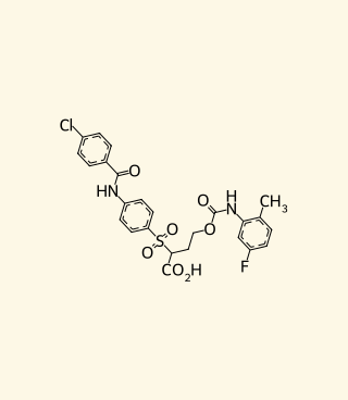 Cc1ccc(F)cc1NC(=O)OCCC(C(=O)O)S(=O)(=O)c1ccc(NC(=O)c2ccc(Cl)cc2)cc1